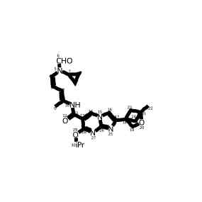 C/C(=C\C=C/N(C=O)C1CC1)NC(=O)c1cn2cc(C34COC(C)(C3)C4)nc2nc1OC(C)C